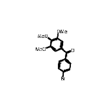 COc1cc(C(=O)c2ccc(Br)cc2)cc(OC)c1OC